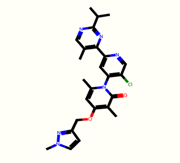 Cc1cnc(C(C)C)nc1-c1cc(-n2c(C)cc(OCc3ccn(C)n3)c(C)c2=O)c(Cl)cn1